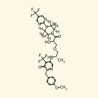 [2H]C1([2H])N(C(=O)C(O)COC[C@H](C)Nc2cnn(Cc3ccc(OC)cc3)c(=O)c2C(F)(F)F)C([2H])([2H])C([2H])([2H])N(c2ncc(C(F)(F)F)cn2)C1([2H])[2H]